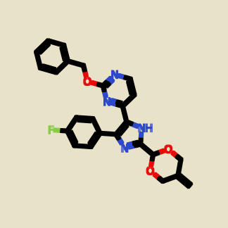 C=C1COC(c2nc(-c3ccc(F)cc3)c(-c3ccnc(OCc4ccccc4)n3)[nH]2)OC1